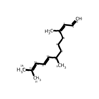 [CH]=CC=C(C)CCCC(C)C=CC=C(C)C